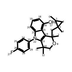 CC1CC1(C)CC1(C)OCC(C)(C)c2c1c1c(O)cccc1n2-c1ccc(F)cc1